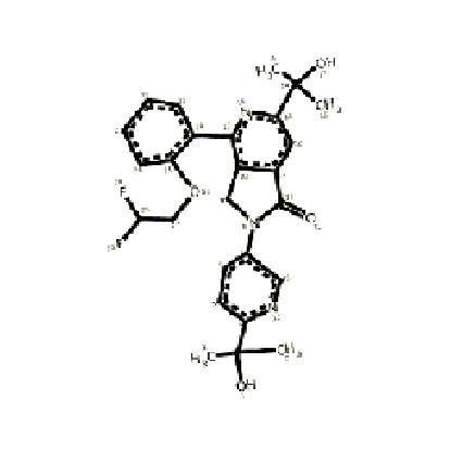 CC(C)(O)c1ccc(N2Cc3c(cc(C(C)(C)O)nc3-c3ccccc3OCC(F)F)C2=O)cn1